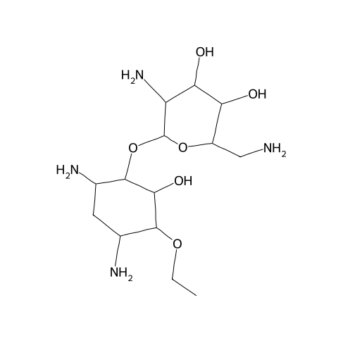 CCOC1C(N)CC(N)C(OC2OC(CN)C(O)C(O)C2N)C1O